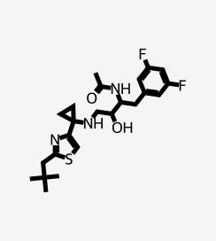 CC(=O)NC(Cc1cc(F)cc(F)c1)C(O)CNC1(c2csc(CC(C)(C)C)n2)CC1